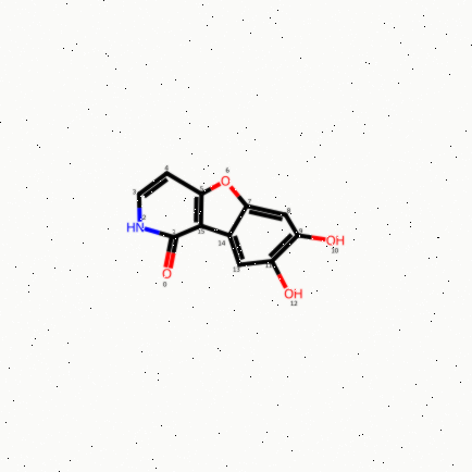 O=c1[nH]ccc2oc3cc(O)c(O)cc3c12